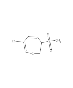 CCC1=CCCC(S(C)(=O)=O)C=C1